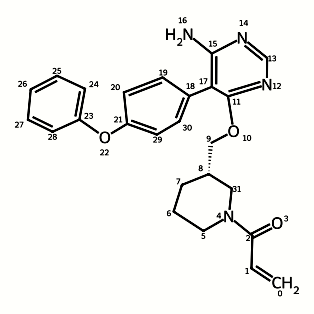 C=CC(=O)N1CCC[C@H](COc2ncnc(N)c2-c2ccc(Oc3ccccc3)cc2)C1